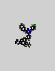 CC1(C)CCC(C)(C)c2cc(-c3cccc(-c4nc(-c5ccc(F)cc5)nc(-c5ccc6ccccc6c5)n4)c3)ccc21